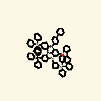 c1ccc(-c2ccc(N3c4ccc([Si](c5ccccc5)(c5ccccc5)c5ccccc5)cc4B4c5cc([Si](c6ccccc6)(c6ccccc6)c6ccccc6)ccc5N(c5cccc([Si](c6ccccc6)(c6ccccc6)c6ccccc6)c5)c5cc(-n6c7ccccc7c7ccccc76)cc3c54)cc2)cc1